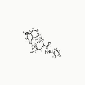 CCCN1CC(C(=O)Nc2nccs2)C[C@@H]2c3cccc4[nH]cc(c34)C[C@H]21